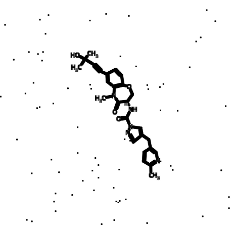 Cc1ccc(Cc2cnn(C(=O)N[C@H]3COc4ccc(C#CC(C)(C)O)cc4N(C)C3=O)c2)cn1